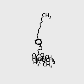 CCCCCCCCc1ccc(OCC(O[Si](C)(C)C(C)(C)C)C(N)=O)cc1